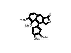 COc1ccc(-c2c3c(cc4ccc(OC)c(OC)c24)C(=O)OC3)cc1OC